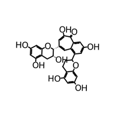 O=c1c(O)cc([C@H]2Oc3cc(O)cc(O)c3C[C@H]2O)cc2c(C3CCc4c(O)cc(O)cc4O3)cc(O)cc12